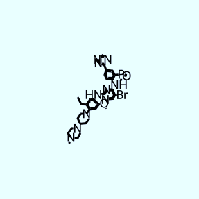 CCc1cc(Nc2ncc(Br)c(Nc3ccc(-c4ncnn4C)cc3P(C)(C)=O)n2)c(OC)cc1N1CCC(N2CCN(C)CC2)CC1